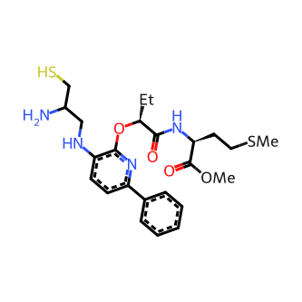 CC[C@H](Oc1nc(-c2ccccc2)ccc1NCC(N)CS)C(=O)N[C@@H](CCSC)C(=O)OC